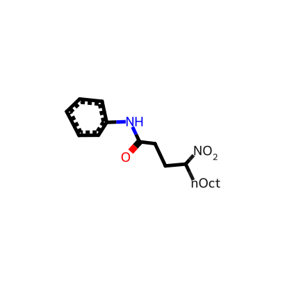 CCCCCCCCC(CCC(=O)Nc1ccccc1)[N+](=O)[O-]